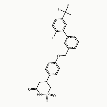 O=C1CC(c2ccc(OCc3cccc(-c4cc(C(F)(F)F)ccc4F)c3)cc2)CS(=O)(=O)N1